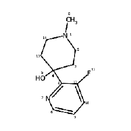 CN1CCC(O)(c2ncccc2F)CC1